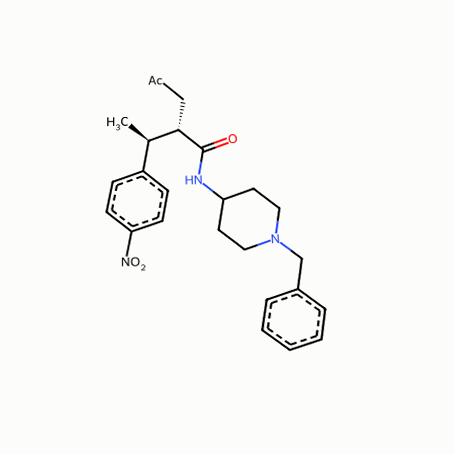 CC(=O)C[C@H](C(=O)NC1CCN(Cc2ccccc2)CC1)[C@H](C)c1ccc([N+](=O)[O-])cc1